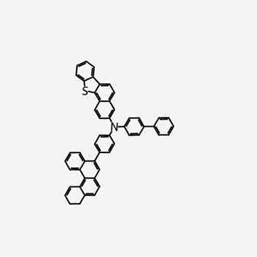 C1=Cc2c(ccc3cc(-c4ccc(N(c5ccc(-c6ccccc6)cc5)c5ccc6c(ccc7c8ccccc8sc67)c5)cc4)c4ccccc4c23)CC1